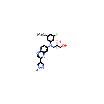 COc1cc(F)cc(N(C[C@@H](O)CO)c2ccc3ncc(-c4cnn(C)c4)nc3c2)c1